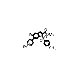 COC(=O)c1cc2cc(F)c(C3CCN(C(C)C)CC3)cc2n1S(=O)(=O)c1ccc(C)cc1